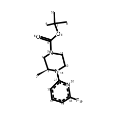 C[C@H]1CN(C(=O)OC(C)(C)C)CCN1c1cccc(F)n1